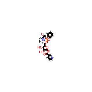 COC(=O)[C@H](C)N[P@@](=O)(OC[C@H]1O[C@@H](OC(=O)c2cccnc2)[C@H](O)[C@@H]1O)Oc1ccccc1